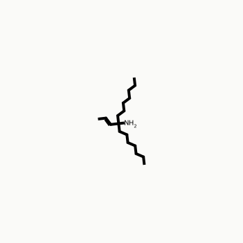 CC=CC(N)(CCCCCCC)CCCCCCC